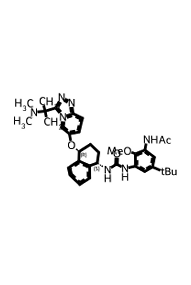 COc1c(NC(C)=O)cc(C(C)(C)C)cc1NC(=O)N[C@H]1CC[C@@H](Oc2ccc3nnc(C(C)(C)N(C)C)n3c2)c2ccccc21